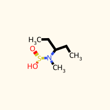 CCC(CC)N(C)S(=O)O